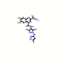 Cc1cc(Cn2nc(C)c(NC(=O)c3cc(C(N)=O)nc4cc(F)c(Cl)cc34)c2C)no1